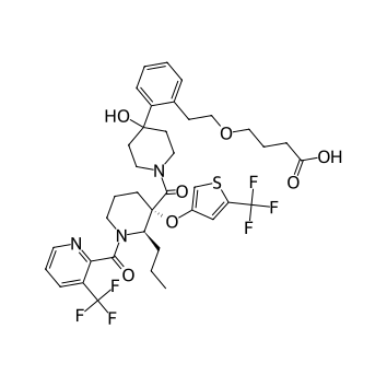 CCC[C@H]1N(C(=O)c2ncccc2C(F)(F)F)CCC[C@@]1(Oc1csc(C(F)(F)F)c1)C(=O)N1CCC(O)(c2ccccc2CCOCCCC(=O)O)CC1